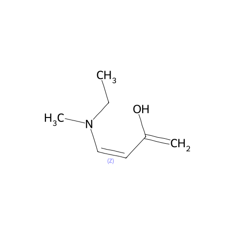 C=C(O)/C=C\N(C)CC